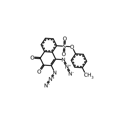 Cc1ccc(OS(=O)(=O)c2cccc3c2C(N=[N+]=[N-])=C(N=[N+]=[N-])C(=O)C3=O)cc1